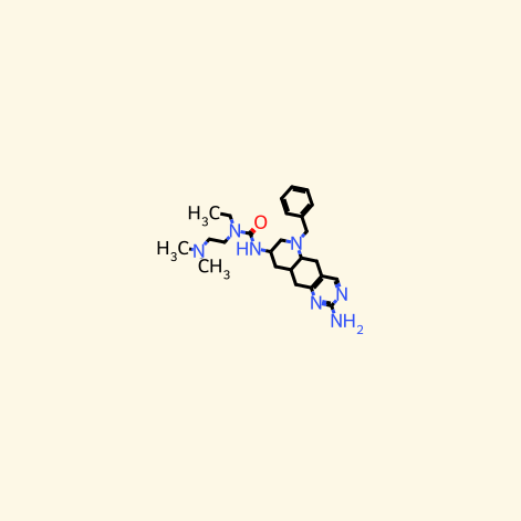 CCN(CCN(C)C)C(=O)NC1CC2Cc3nc(N)ncc3CC2N(Cc2ccccc2)C1